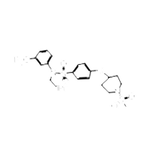 CC(C)CN(c1cccc(C(F)(F)F)c1)S(=O)(=O)c1ccc(OC2CCN(S(C)(=O)=O)CC2)cc1